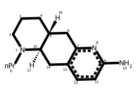 CCCN1CCC[C@@H]2Cc3nc(N)ccc3C[C@H]21